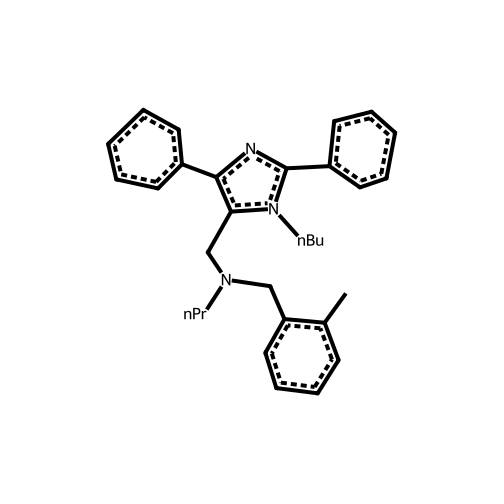 CCCCn1c(-c2ccccc2)nc(-c2ccccc2)c1CN(CCC)Cc1ccccc1C